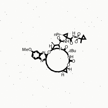 CCC[C@@H]1C[C@]1(NC(=O)[C@@H]1[C@H](C)[C@@H]2CN1C(=O)[C@H](C(C)(C)C)NC(=O)O[C@@H]1C[C@H]1CCCCCc1nc3ccc(OC)cc3nc1O2)C(=O)NS(=O)(=O)C1(C)CC1